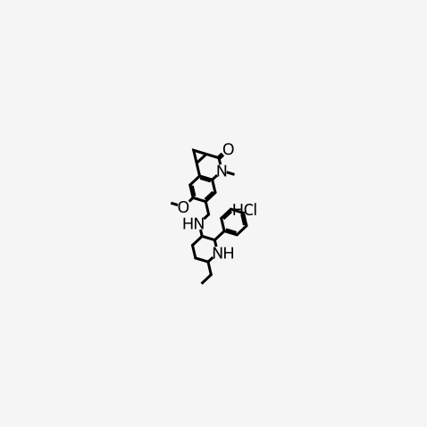 CCC1CCC(NCc2cc3c(cc2OC)C2CC2C(=O)N3C)C(c2ccccc2)N1.Cl